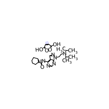 CC(C)N(CCn1ncc2c(NC(=O)C3CCCCC3)ncnc21)C(C)C.O=C(O)/C=C\C(=O)O